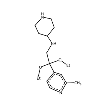 CCOC(CNC1CCNCC1)(OCC)c1ccnc(C)c1